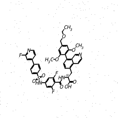 CCOCc1cc(OC)c(-c2ccc(C[C@H](NC(=O)c3c(F)cc(NS(=O)(=O)c4ccc(-c5ccnc(F)c5)cc4)cc3F)C(=O)O)c3ccncc23)c(OC)c1